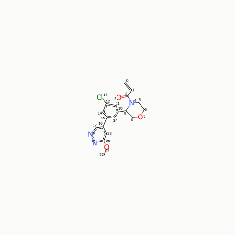 C=CC(=O)N1CCOCC1c1cc(Cl)cc(-c2cnnc(OC)c2)c1